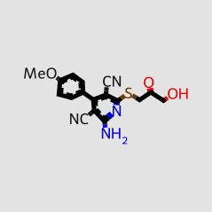 COc1ccc(-c2c(C#N)c(N)nc(SCC(=O)CO)c2C#N)cc1